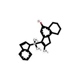 CC1=C([Si](C)(C)C2C=Cc3ccccc32)c2cc(Br)c3c(c2C1)CCCC3